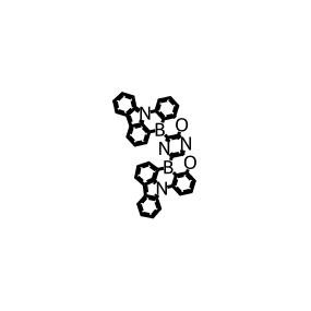 c1cc2c3c(c1)-n1c4ccccc4c4cccc(c41)B3c1nc3c(nc1O2)Oc1cccc2c1B3c1cccc3c4ccccc4n-2c13